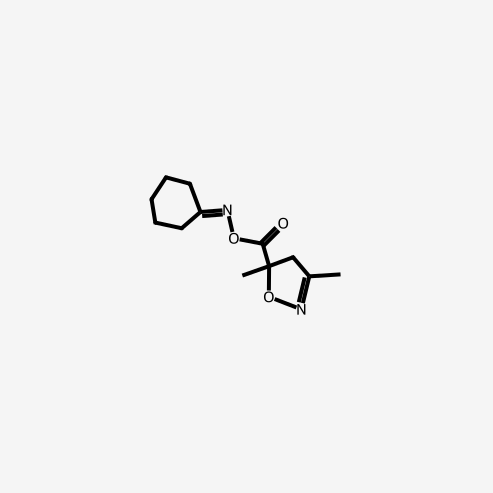 CC1=NOC(C)(C(=O)ON=C2CCCCC2)C1